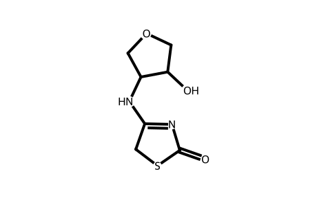 O=C1N=C(NC2COCC2O)CS1